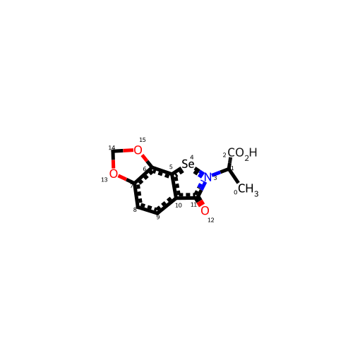 CC(C(=O)O)n1[se]c2c3c(ccc2c1=O)OCO3